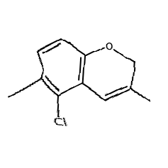 CC1=Cc2c(ccc(C)c2Cl)OC1